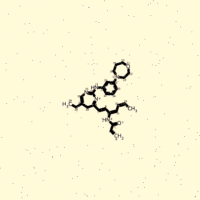 C=CC(=O)NC(/C=C/C1=NC(Nc2cccc(N3CCCOCC3)c2)=NC=C(CC)C1)=C/C=C\C